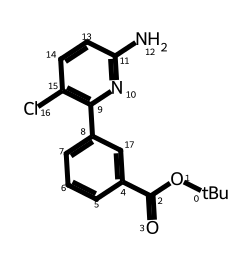 CC(C)(C)OC(=O)c1cccc(-c2nc(N)ccc2Cl)c1